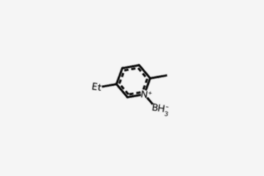 [BH3-][n+]1cc(CC)ccc1C